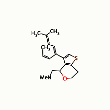 C/C=C\C(=C/C=C(C)C)c1csc2c1C(CNC)OCC2